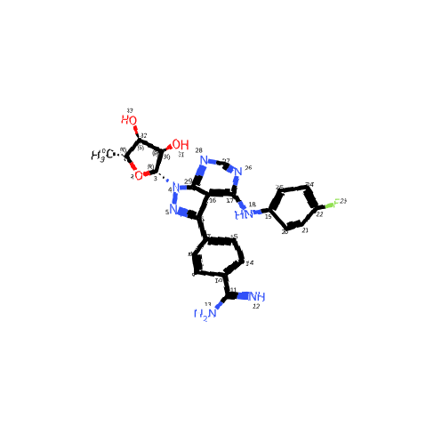 C[C@H]1O[C@@H](n2nc(-c3ccc(C(=N)N)cc3)c3c(Nc4ccc(F)cc4)ncnc32)[C@H](O)[C@@H]1O